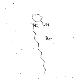 CCCCCCCCCCC[N+](C)(C)C1CCCCC1O.[Br-]